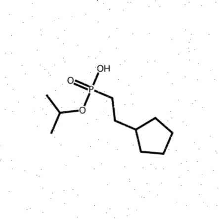 CC(C)OP(=O)(O)CCC1CCCC1